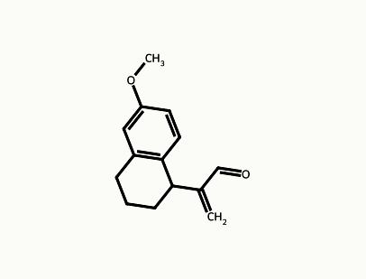 C=C(C=O)C1CCCc2cc(OC)ccc21